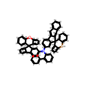 c1ccc(-c2ccccc2N(c2ccc3c(c2)C2(c4ccccc4Oc4ccccc42)c2ccccc2-3)c2ccc3c(c2)C2(c4ccccc4Sc4ccccc42)c2cc4ccccc4cc2-3)cc1